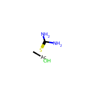 CC(C)=O.Cl.NC(N)=S